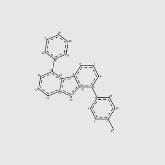 Cc1ccc(-c2cccc3c2sc2cccc(-c4ccccc4)c23)cc1